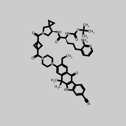 CCc1cc2c(cc1N1CCN(C(=O)C34CC(C(=O)N5C[C@H](NC(=O)[C@H](CCCc6cccnc6N)NC(=O)OC(C)(C)C)C6(CC6)C5)(C3)C4)CC1)C(C)(C)c1[nH]c3cc(C#N)ccc3c1C2=O